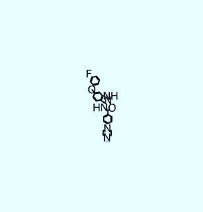 CN1CCN(c2ccc(C(=O)Nc3n[nH]c4cc(Oc5cccc(F)c5)ccc34)cc2)CC1